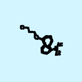 CCN(C(C)=O)c1cccc2c(OCCCCl)cccc12